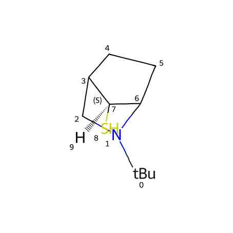 CC(C)(C)N1CC2CCC1[C@H]2S